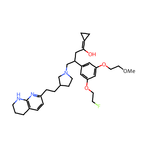 COCCOc1cc(OCCF)cc(C(CC(O)=C2CC2)CN2CCC(CCc3ccc4c(n3)NCCC4)C2)c1